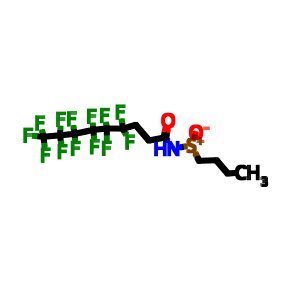 CCCC[S+]([O-])NC(=O)CCC(F)(F)C(F)(F)C(F)(F)C(F)(F)C(F)(F)C(F)(F)F